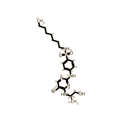 CCCCCCCCNS(=O)(=O)c1ccc(Nc2ncc(Br)c(N[C@H](C)CO)n2)cc1